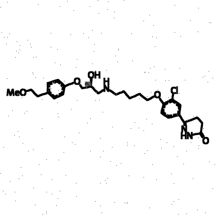 COCCc1ccc(OC[C@@H](O)CNCCCCCOc2ccc(C3=NNC(=O)CC3)cc2Cl)cc1